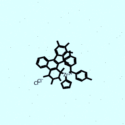 Cc1ccc([C](c2ccc(C)cc2)=[Zr+2]([C]2=CC=CC2)[C]2(C)c3c4c(c5ccccc5c3C(C)C(C)C2C)-c2cc(C)c(C)c(C)c2C4C)cc1.[Cl-].[Cl-]